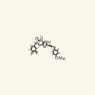 COc1ccc(CC#Cc2nc3c([nH]2)N(C)C(=O)N(Cc2ccc(F)c(F)c2)C3)cc1